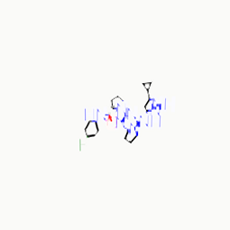 O=C(Nc1ccc(F)cc1)[C@@H]1CCCN1c1nc(Nc2cc(C3CC3)[nH]n2)n2cccc2n1